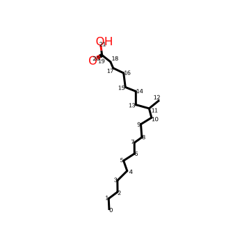 CCCCCCCCCCCC(C)CCCCCCC(=O)O